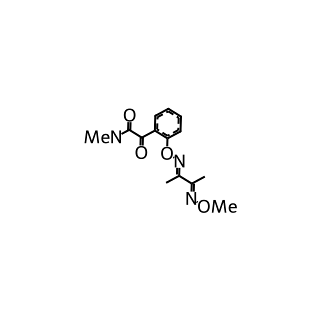 CNC(=O)C(=O)c1ccccc1O/N=C(C)/C(C)=N/OC